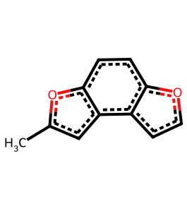 Cc1cc2c(ccc3occc32)o1